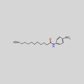 CCCCCCCCCCCCCCCCCCCC(=O)Nc1ccc([N+](=O)[O-])cc1